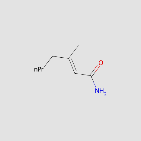 CCCCC(C)=CC(N)=O